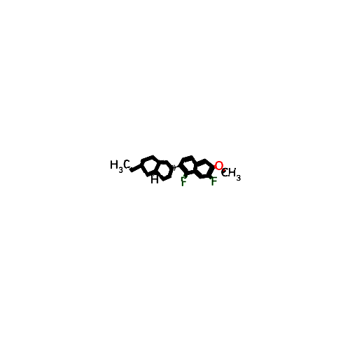 CCC1CCC2C[C@H](c3ccc4cc(OC)c(F)cc4c3F)CC[C@@H]2C1